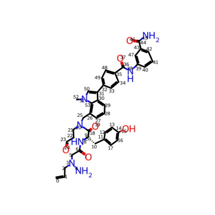 C=CCN(N)CC(=O)N[C@@H](Cc1ccc(O)cc1)C(=O)N(CCC=O)Cc1cccc2c(-c3ccc(C(=O)Nc4cccc(C(N)=O)c4)cc3)cn(C)c12